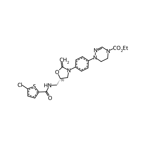 C=C1O[C@@H](CNC(=O)c2ccc(Cl)s2)CN1c1ccc(N2CCN(C(=O)OCC)C=N2)cc1